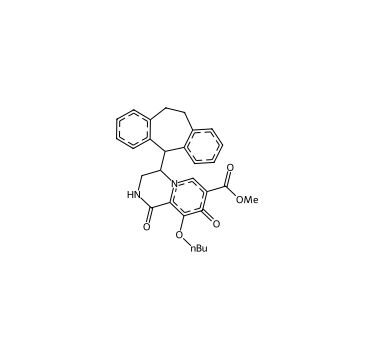 CCCCOc1c2n(cc(C(=O)OC)c1=O)C(C1c3ccccc3CCc3ccccc31)CNC2=O